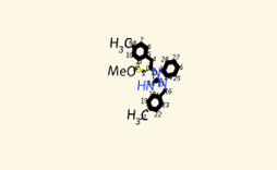 COSC[C@H](Cc1ccc(C)cc1)n1c(=N)n(Cc2ccc(C)cc2)c2ccccc21